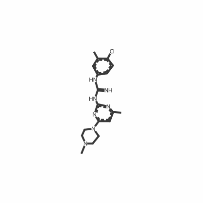 Cc1cc(N2CCN(C)CC2)nc(NC(=N)Nc2ccc(Cl)c(C)c2)n1